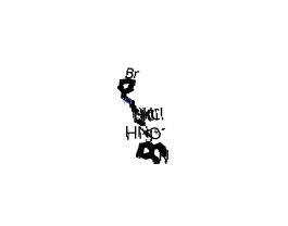 Cl.Cl.[O-][S+](NCCNC/C=C/c1ccc(Br)cc1)c1cccc2cnccc12